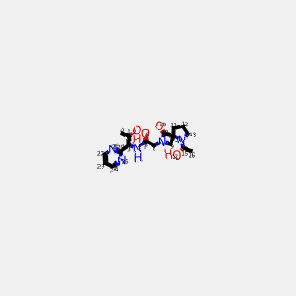 CC(O)C(NC(=O)CN1CC2(CCCN2C(C)O)C1=O)c1ncccn1